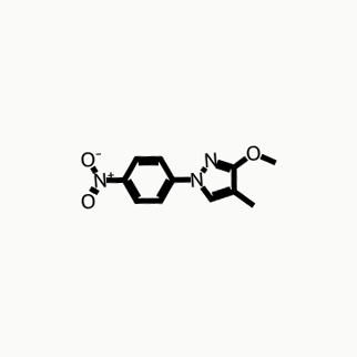 COc1nn(-c2ccc([N+](=O)[O-])cc2)cc1C